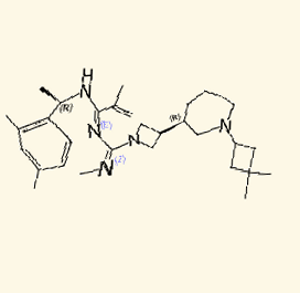 C=C(C)/C(=N\C(=N/C)N1CC([C@H]2CCCN(C3CC(C)(C)C3)C2)C1)N[C@H](C)c1ccc(C)cc1C